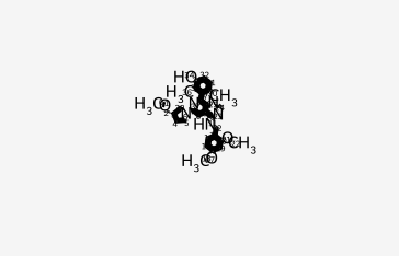 COC[C@H]1CCN(c2cc3c(NCc4ccc(OC)cc4OC)ncnc3c(-c3c(C)ccc(O)c3C)n2)C1